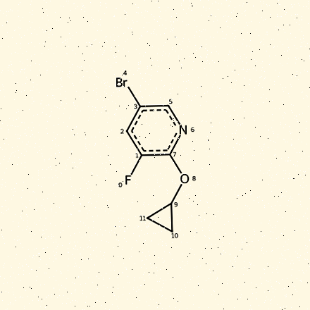 Fc1cc(Br)cnc1OC1CC1